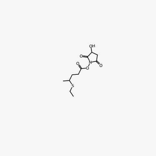 CCSC(C)CCC(=O)ON1C(=O)CC(O)C1=O